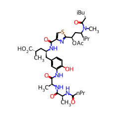 CCCC(=O)N[C@@H](C)C(=O)N[C@@H](C)C(=O)Nc1cc(C[C@@H](C[C@H](C)C(=O)O)NC(=O)c2csc([C@@H](CC(C(C)C)N(C)C(=O)C[C@@H](C)CC)OC(C)=O)n2)ccc1O